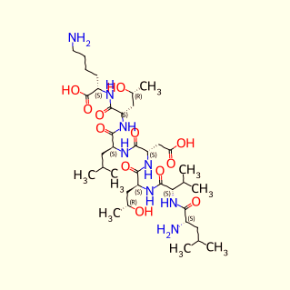 CC(C)C[C@H](NC(=O)[C@H](CC(=O)O)NC(=O)[C@H](C[C@@H](C)O)NC(=O)[C@@H](NC(=O)[C@@H](N)CC(C)C)C(C)C)C(=O)N[C@@H](C[C@@H](C)O)C(=O)N[C@@H](CCCCN)C(=O)O